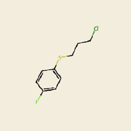 Fc1ccc(SCCCCl)cc1